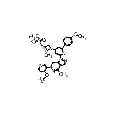 COc1ccc(-c2cc(N3C[C@H](CS(C)(=O)=O)[C@H]3C)cc(-n3ncc4c(C)nc(-c5cnccc5OC)cc43)n2)cc1